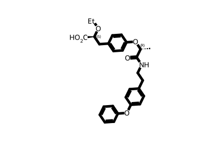 CCO[C@@H](Cc1ccc(O[C@H](C)C(=O)NCCc2ccc(Oc3ccccc3)cc2)cc1)C(=O)O